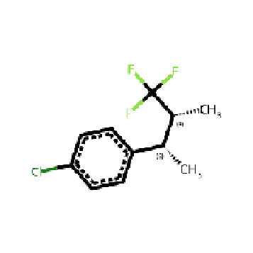 C[C@H](c1ccc(Cl)cc1)[C@@H](C)C(F)(F)F